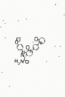 NC(=O)c1nn(-c2ccc(OCl)cc2)c2c1CCN(c1ccc(N3CCCCC3=O)cc1)C2=O